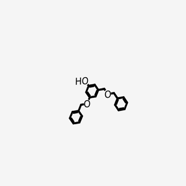 Oc1cc(COCc2ccccc2)cc(OCc2ccccc2)c1